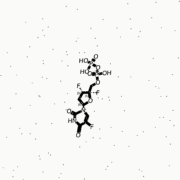 O=c1[nH]c(=O)n([C@H]2C[C@H](F)[C@@](F)(COP(=O)(O)OP(=O)(O)O)O2)cc1F